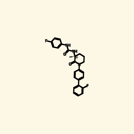 C[C@]1(NC(=O)Nc2ccc(F)cc2)CCCN(c2ccc(-c3ccccc3F)cc2)C1=O